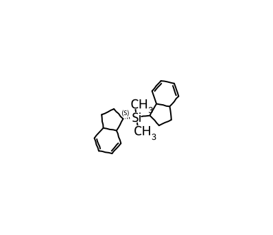 C[Si](C)(C1CCC2C=CC=CC21)[C@H]1CCC2C=CC=CC21